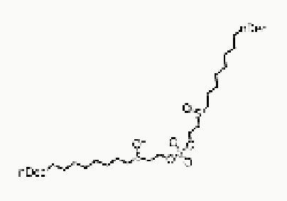 CCCCCCCCCCCCCCCCCC[S+]([O-])CCOS(=O)(=O)OCC[S+]([O-])CCCCCCCCCCCCCCCCCC